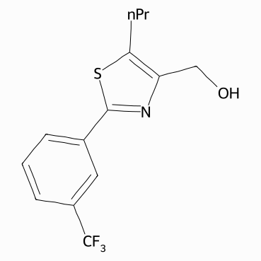 CCCc1sc(-c2cccc(C(F)(F)F)c2)nc1CO